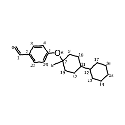 C=Cc1ccc(OC2(C)CCC(C3CCCCC3)CC2)cc1